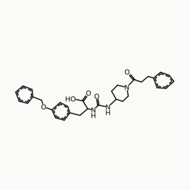 O=C(NC1CCN(C(=O)CCc2ccccc2)CC1)NC(Cc1ccc(OCc2ccccc2)cc1)C(=O)O